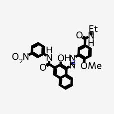 CCNC(=O)c1ccc(OC)c(/N=N/c2c(O)c(C(=O)Nc3cccc([N+](=O)[O-])c3)cc3ccccc23)c1